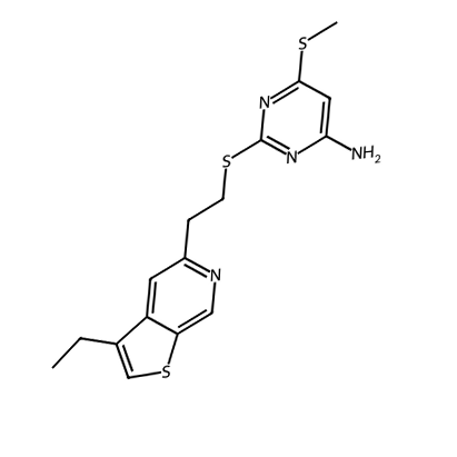 CCc1csc2cnc(CCSc3nc(N)cc(SC)n3)cc12